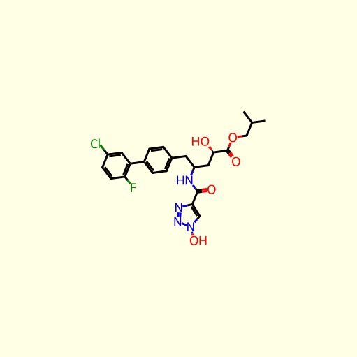 CC(C)COC(=O)[C@H](O)CC(Cc1ccc(-c2cc(Cl)ccc2F)cc1)NC(=O)c1cn(O)nn1